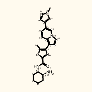 Cc1sc(C(=O)N[C@@H]2CCCC[C@@H]2N)nc1-c1cnn2cc(-c3cnn(C)c3)ccc12